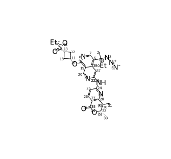 CC[C@@](C)(N=[N+]=[N-])c1cnc(O[C@H]2C[C@@H](S(=O)(=O)CC)C2)c2cnc(Nc3ccc4c(n3)[C@@H](C)[C@H](C)OC4=O)cc12